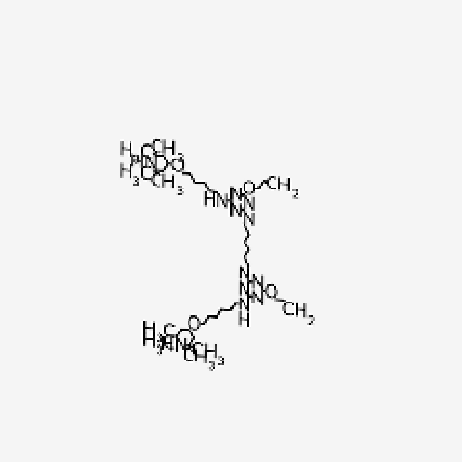 C=CCOc1nc(N=CCCCCC=Nc2nc(NCCCCCCOC3CC(C)(C)NC(C)(C)C3)nc(OCC=C)n2)nc(NCCCCCCOC2CC(C)(C)NC(C)(C)C2)n1